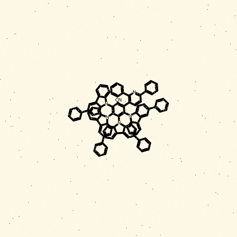 N#Cc1c(-c2ccc(-c3ccccc3)nc2-c2ccccc2)c(-n2c3ccccc3c3cc(-c4ccccc4)ccc32)c(-n2c3ccccc3c3cc(-c4ccccc4)ccc32)c(-n2c3ccccc3c3cc(-c4ccccc4)ccc32)c1-n1c2ccccc2c2cc(-c3ccccc3)ccc21